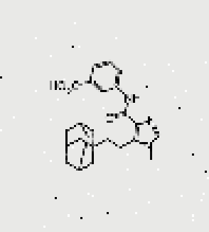 O=C(O)c1cccc(NC(=O)c2nc[nH]c2CCC23CC4CC(CC(C4)C2)C3)c1